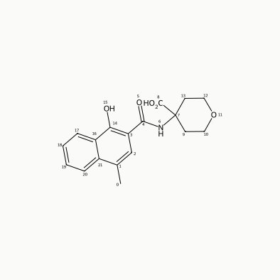 Cc1cc(C(=O)NC2(C(=O)O)CCOCC2)c(O)c2ccccc12